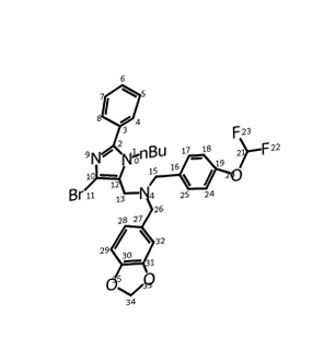 CCCCn1c(-c2ccccc2)nc(Br)c1CN(Cc1ccc(OC(F)F)cc1)Cc1ccc2c(c1)OCO2